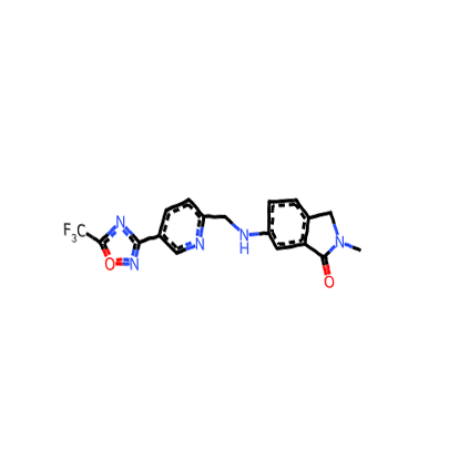 CN1Cc2ccc(NCc3ccc(-c4noc(C(F)(F)F)n4)cn3)cc2C1=O